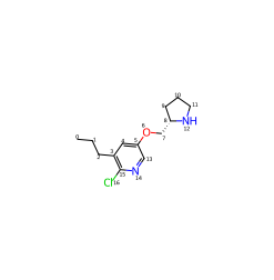 CCCc1cc(OC[C@@H]2CCCN2)cnc1Cl